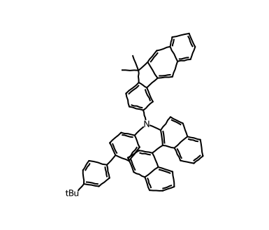 CC(C)(C)c1ccc(-c2ccc(N(c3ccc4c(c3)-c3cc5ccccc5cc3C4(C)C)c3ccc4ccccc4c3-c3cccc4ccccc34)cc2)cc1